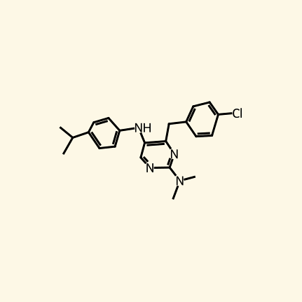 CC(C)c1ccc(Nc2cnc(N(C)C)nc2Cc2ccc(Cl)cc2)cc1